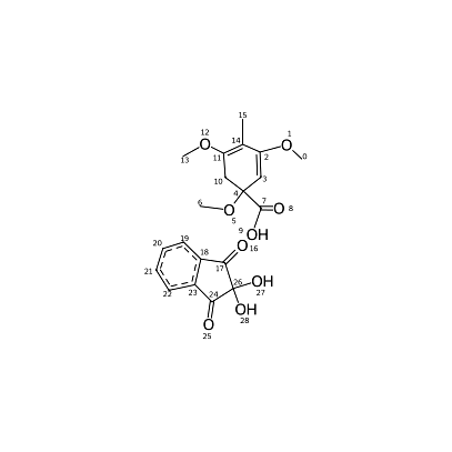 COC1=CC(OC)(C(=O)O)CC(OC)=C1C.O=C1c2ccccc2C(=O)C1(O)O